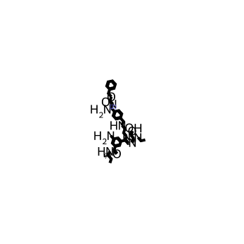 CCNc1ncc(-c2cc(N)cc(C(=O)N[C@H](C)CC)c2)n(CC(=O)NCc2ccc(/C(N)=N/C(=O)OCc3ccccc3)cc2)c1=O